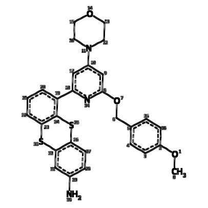 COc1ccc(COc2cc(N3CCOCC3)cc(-c3cccc4c3Sc3ccc(N)cc3S4)n2)cc1